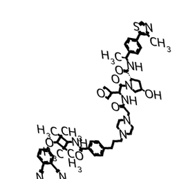 Cc1ncsc1-c1ccc([C@H](C)NC(=O)[C@@H]2C[C@@H](O)CN2C(=O)C(NC(=O)CN2CCN(CCCc3ccc(C(=O)NC4C(C)(C)C(Oc5ccc(C#N)c(C#N)c5)C4(C)C)cc3)CC2)C2COC2)cc1